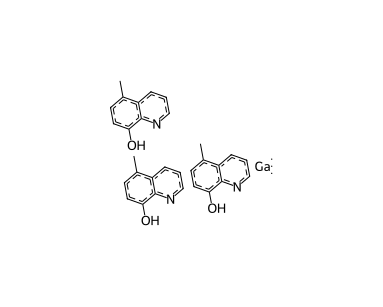 Cc1ccc(O)c2ncccc12.Cc1ccc(O)c2ncccc12.Cc1ccc(O)c2ncccc12.[Ga]